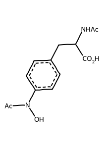 CC(=O)NC(Cc1ccc(N(O)C(C)=O)cc1)C(=O)O